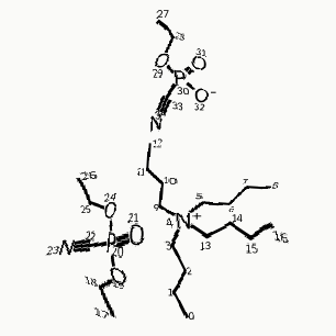 CCCC[N+](CCCC)(CCCC)CCCC.CCOP(=O)(C#N)OCC.CCOP(=O)([O-])C#N